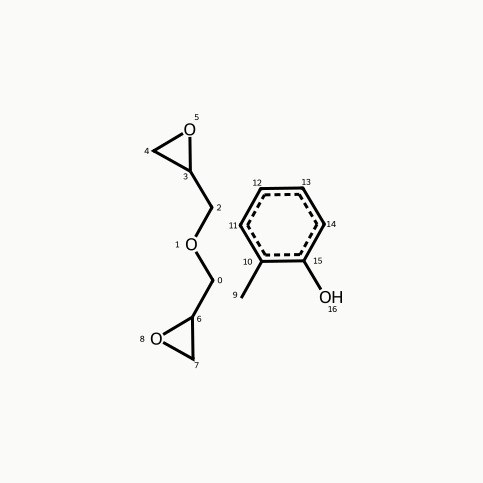 C(OCC1CO1)C1CO1.Cc1ccccc1O